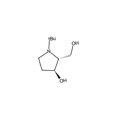 CC(C)(C)N1CC[C@H](O)[C@H]1CO